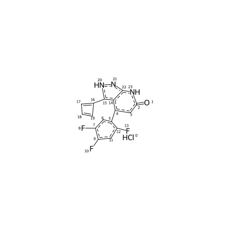 Cl.O=c1cc(-c2cc(F)c(F)cc2F)c2c(C3=CC=C3)[nH]nc2[nH]1